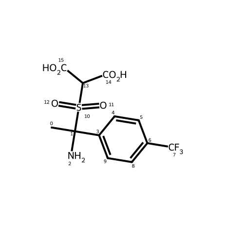 CC(N)(c1ccc(C(F)(F)F)cc1)S(=O)(=O)C(C(=O)O)C(=O)O